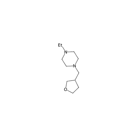 CCN1CCN(CC2CCOC2)CC1